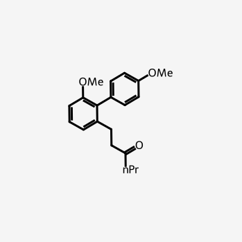 CCCC(=O)CCc1cccc(OC)c1-c1ccc(OC)cc1